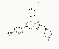 C[C@@H]1CN(Cc2cc3nc(-c4ccc(N)nc4)nc(N4CCOCC4)c3s2)CCN1